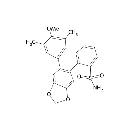 COc1c(C)cc(-c2cc3c(cc2-c2ccccc2S(N)(=O)=O)OCO3)cc1C